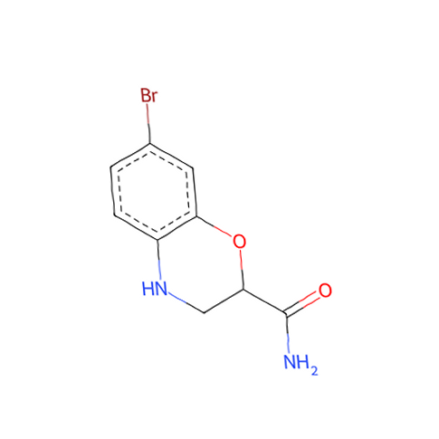 NC(=O)C1CNc2ccc(Br)cc2O1